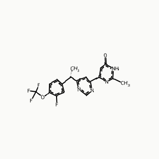 Cc1nc(-c2cc([C@@H](C)c3ccc(OC(F)(F)F)c(F)c3)ncn2)cc(=O)[nH]1